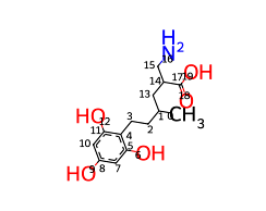 CC(CCc1c(O)cc(O)cc1O)CC(CN)C(=O)O